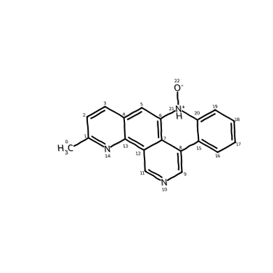 Cc1ccc2cc3c4c(cncc4c2n1)-c1ccccc1[NH+]3[O-]